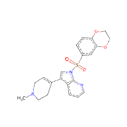 CN1CC=C(c2cn(S(=O)(=O)c3ccc4c(c3)OCCO4)c3ncccc23)CC1